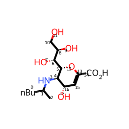 CCCCC(C)N[C@H]1[C@H]([C@H](O)[C@H](O)CO)OC(C(=O)O)=C[C@@H]1O